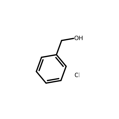 OCc1ccccc1.[C]